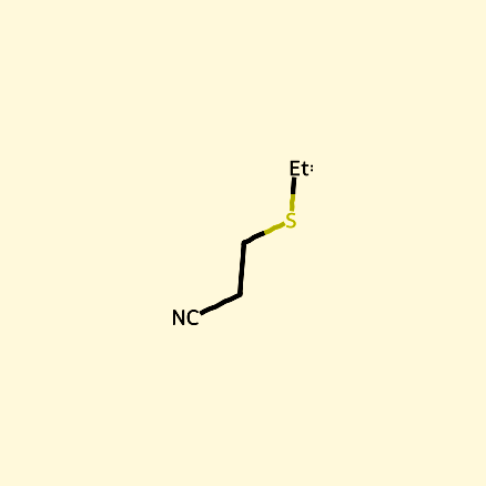 C[C]SCCC#N